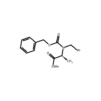 COC(=O)[C@H](C)N(CC(C)C)C(=O)OCc1ccccc1